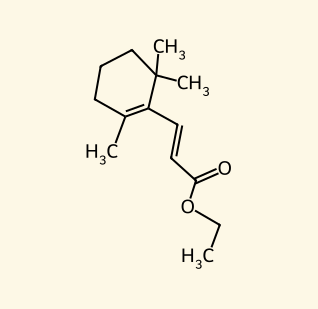 CCOC(=O)C=CC1=C(C)CCCC1(C)C